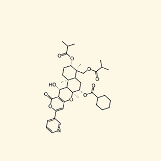 CC(C)C(=O)OC[C@@]1(C)C2C[C@H](OC(=O)C3CCCCC3)[C@@]3(C)Oc4cc(-c5cccnc5)oc(=O)c4[C@H](O)C3[C@@]2(C)CC[C@@H]1OC(=O)C(C)C